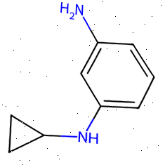 Nc1cccc(NC2CC2)c1